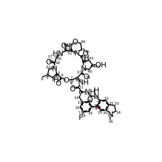 C[C@@H]1C[C@H]2C(=O)O[C@@H](C)[C@H](NC(=O)[C@H](Cc3cc(F)cc(F)c3)NC(=O)Nc3ccc4c(c3)CCN4C)C(=O)N3C[C@H](O)C[C@H]3C(=O)N3CCOC[C@H]3C(=O)N[C@@H](C)C(=O)N2C1